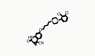 N#CC12CC1C(=O)Nc1cc(OCCCCN3CCN(c4cccc(Cl)c4Cl)CC3)ccc12